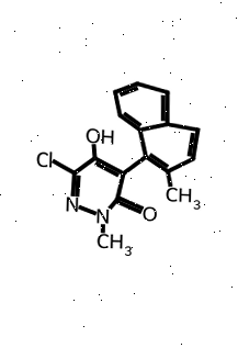 Cc1ccc2ccccc2c1-c1c(O)c(Cl)nn(C)c1=O